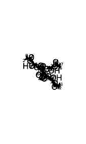 C=C(C)C(=O)OCC(O)COC(=O)C[C@H](C(=O)OCC(O)COC(=O)C(=C)C)[C@@H](CC(=O)OCC(O)COC(=O)C(=C)C)C(=O)OC